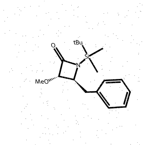 CO[C@@H]1C(=O)N([Si](C)(C)C(C)(C)C)[C@H]1Cc1ccccc1